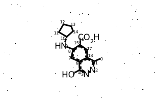 Cc1nnc(O)c2cc(NC3CCCC3)c(C(=O)O)cc12